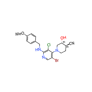 COc1ccc(CNc2ncc(Br)c(N3CC[C@H](C#N)[C@@H](O)C3)c2Cl)cc1